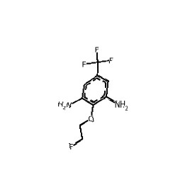 Nc1cc(C(F)(F)F)cc(N)c1OCCF